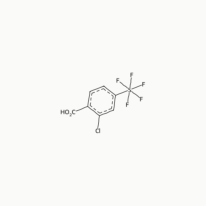 O=C(O)c1ccc(S(F)(F)(F)(F)F)cc1Cl